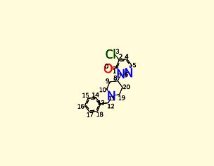 O=c1c(Cl)ccnn1C1CCN(Cc2ccccc2)CC1